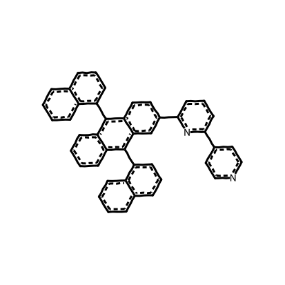 c1cc(-c2ccncc2)nc(-c2ccc3c(-c4cccc5ccccc45)c4ccccc4c(-c4cccc5ccccc45)c3c2)c1